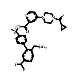 C[C@@H](NC(=O)c1cc(N2CCN(C(=O)C3CC3)CC2)ccn1)c1ccc(-c2cc(C(F)F)ccc2CN)cc1